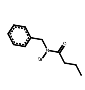 CCCC(=O)N(Br)Cc1ccccc1